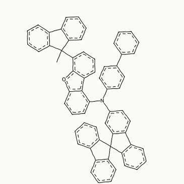 CC1(c2cccc3c2oc2cccc(N(c4ccc(-c5ccccc5)cc4)c4ccc5c(c4)C4(c6ccccc6-c6ccccc64)c4ccccc4-5)c23)c2ccccc2-c2ccccc21